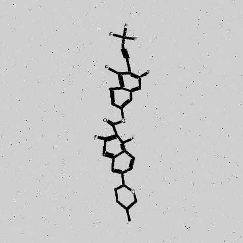 CC1CCC(c2ccc3c(F)c(C(=O)Oc4ccc5c(F)c(C#CC(F)(F)F)c(F)cc5c4)c(F)cc3c2)OC1